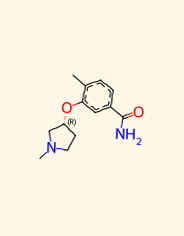 Cc1ccc(C(N)=O)cc1O[C@@H]1CCN(C)C1